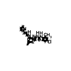 Cc1cc(Cl)ccc1NC(=O)Nc1cn(CC2CC2)c(C(=O)NCCCn2cccn2)n1